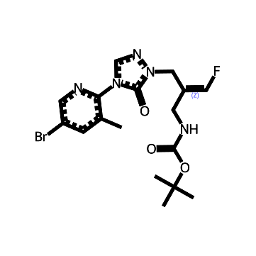 Cc1cc(Br)cnc1-n1cnn(C/C(=C\F)CNC(=O)OC(C)(C)C)c1=O